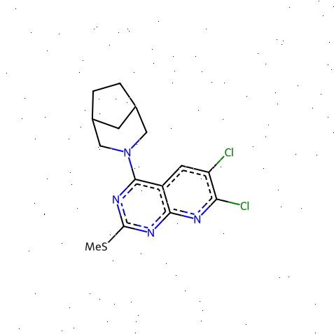 CSc1nc(N2CC3CCC(C3)C2)c2cc(Cl)c(Cl)nc2n1